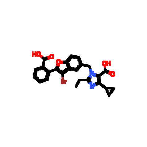 CCc1nc(C2CC2)c(C(=O)O)n1Cc1ccc2oc(-c3ccccc3C(=O)O)c(Br)c2c1